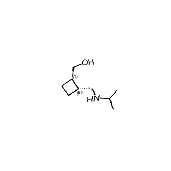 CC(C)NC[C@@H]1CC[C@H]1CO